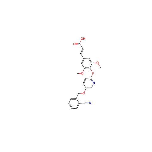 COc1cc(C=CC(=O)O)cc(OC)c1Oc1ccc(OCc2ccccc2C#N)cn1